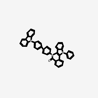 O=c1c2ccccc2c2c(c3ccccc3n2-c2ccccc2)n1-c1ccc(-c2ccc(-n3c4ccccc4c4ccccc43)cc2)cc1